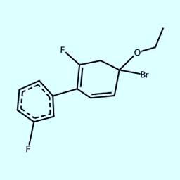 CCOC1(Br)C=CC(c2cccc(F)c2)=C(F)C1